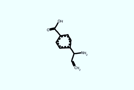 C=CC(N)c1ccc(C(=O)O)cc1